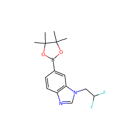 CC1(C)OB(c2ccc3ncn(CC(F)F)c3c2)OC1(C)C